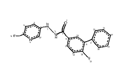 O=C(NNc1ccc(F)nc1)c1ccc(F)c(-c2ccccc2)c1